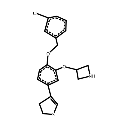 Clc1cccc(COc2ccc(C3=CSCC3)cc2OC2CNC2)c1